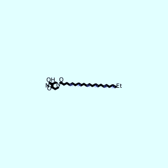 CC/C=C/C/C=C/C/C=C/C/C=C/C/C=C/C/C=C/CCC(=O)N1CCc2onc(O)c2C1